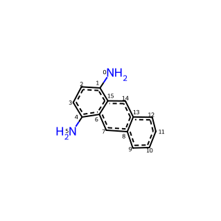 Nc1ccc(N)c2cc3ccccc3cc12